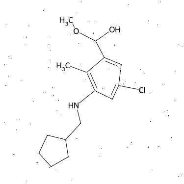 COC(O)c1cc(Cl)cc(NCC2CCCC2)c1C